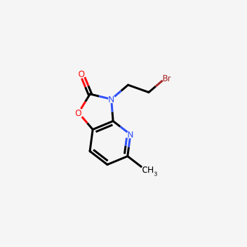 Cc1ccc2oc(=O)n(CCBr)c2n1